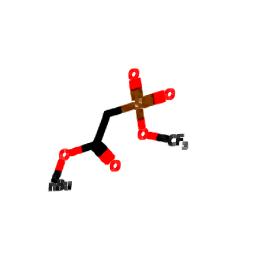 CCCCOC(=O)CS(=O)(=O)OC(F)(F)F